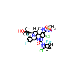 Cn1nc(NS(C)(=O)=O)c2c(Cl)ccc(-c3ccc(C#CC(C)(C)O)nc3[C@H](Cc3cc(F)cc(F)c3)NC(=O)Cn3nc(Cl)c4c3C(F)(F)[C@@H]3C[C@H]43)c21